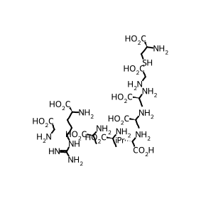 CC(C)[C@H](N)C(=O)O.C[C@H](N)C(=O)O.C[C@H](N)C(=O)O.C[C@H](N)C(=O)O.C[C@H](N)C(=O)O.N=C(N)NCCC[C@H](N)C(=O)O.NCC(=O)O.NCC(=O)O.N[C@@H](CS)C(=O)O